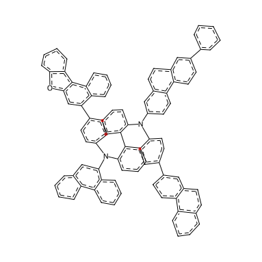 c1ccc(-c2ccc3c(ccc4cc(N(c5ccc(-c6ccc7c(ccc8ccccc87)c6)cc5)c5ccccc5-c5ccccc5N(c5ccc(-c6cc7oc8ccccc8c7c7ccccc67)cc5)c5cc6ccccc6c6ccccc56)ccc43)c2)cc1